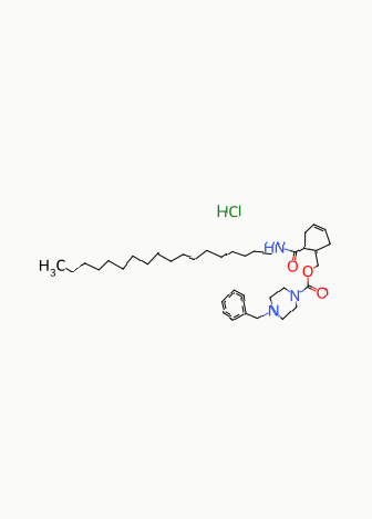 CCCCCCCCCCCCCCCCCCNC(=O)C1CC=CCC1COC(=O)N1CCN(Cc2ccccc2)CC1.Cl